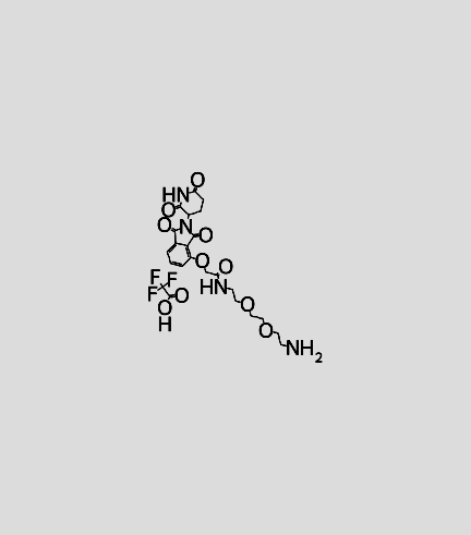 NCCOCCOCCNC(=O)COc1cccc2c1C(=O)N(C1CCC(=O)NC1=O)C2=O.O=C(O)C(F)(F)F